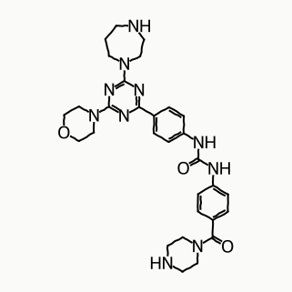 O=C(Nc1ccc(C(=O)N2CCNCC2)cc1)Nc1ccc(-c2nc(N3CCCNCC3)nc(N3CCOCC3)n2)cc1